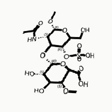 CO[C@@H]1C(C(=O)O)O[C@@H](OC2[C@@H](OS(=O)(=O)O)C(CO)O[C@@H](OC)[C@H]2NC(C)=O)[C@@H](O)C1O